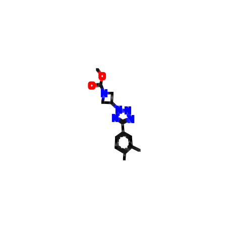 COC(=O)N1CC(n2nnc(-c3ccc(C)c(C)c3)n2)C1